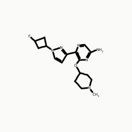 CN1CCC(Oc2nc(N)cnc2-c2ccn(C3CC(F)C3)n2)CC1